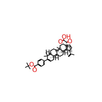 C=C(C)[C@@H]1CC[C@]2(C(=O)C(=O)O)CC[C@]3(C)[C@H](CC[C@@H]4[C@@]5(C)CC=C(c6ccc(C(=O)OC(C)(C)C)cc6)C(C)(C)[C@@H]5CC[C@]43C)[C@@H]12